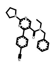 CCN(Cc1ccccc1)C(=O)c1cnc(N2CCCC2)nc1-c1ccc(C#N)cc1